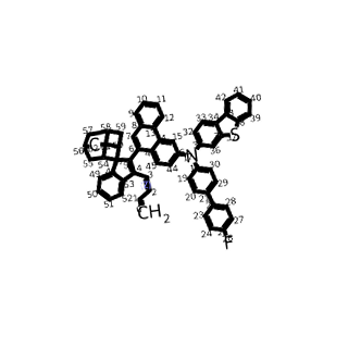 C=C/C=C\C1=C(c2cc3ccccc3c3cc(N(c4ccc(-c5ccc(F)cc5)cc4)c4ccc5c(c4)sc4ccccc45)ccc23)C2(c3ccccc31)C1CC3CC4CC2C41C3